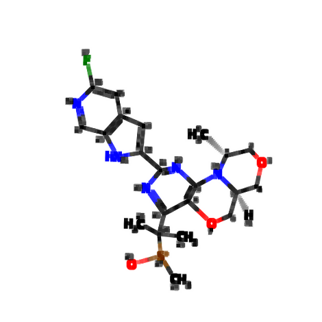 C[C@@H]1COC[C@H]2COc3c(nc(-c4cc5cc(F)ncc5[nH]4)nc3C(C)(C)[S+](C)[O-])N21